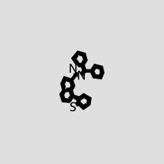 c1ccc(-c2nc(-c3ccc4ccc5sc6ccccc6c5c4c3)nc3ccccc23)cc1